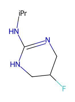 CC(C)NC1=NCC(F)CN1